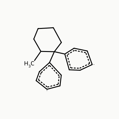 CC1CCCCC1(c1cc[c]cc1)c1cc[c]cc1